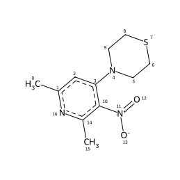 Cc1cc(N2CCSCC2)c([N+](=O)[O-])c(C)n1